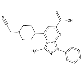 Cc1nn(-c2ccccc2)c2nc(C(=O)O)cc(C3CCN(CC#N)CC3)c12